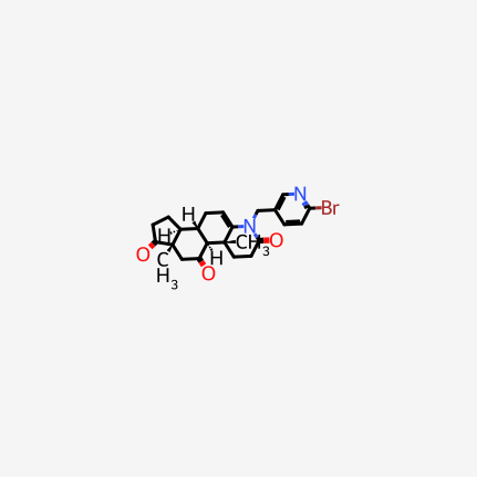 C[C@]12CCC(=O)N(Cc3ccc(Br)nc3)C1=CC[C@@H]1[C@@H]2C(=O)C[C@]2(C)C(=O)CC[C@@H]12